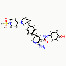 CS(=O)(=O)N1CCC(N2CC3CC3(c3ccc(-c4cnc(N)c(C(=O)NC5CCC(O)CC5)c4)cc3)C2)CC1